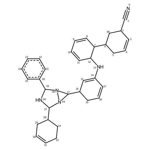 N#CC1C=CCC(C2C=CC=CC2NC2=CC(C3N4C(c5ccccc5)NC(C5CC=CCC5)N34)CC=C2)C1